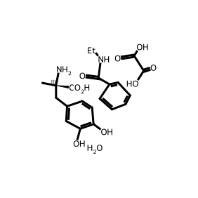 C[C@](N)(Cc1ccc(O)c(O)c1)C(=O)O.O.O=C(O)C(=O)O.[CH2]CNC(=O)c1ccccc1